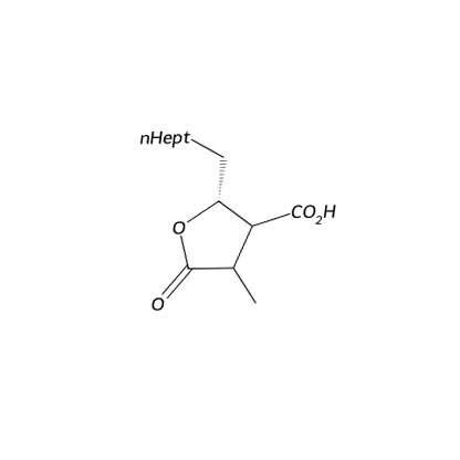 CCCCCCCC[C@H]1OC(=O)C(C)C1C(=O)O